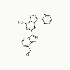 O=Cc1cccn2c(-c3nc(O)c4scc(-c5ccccn5)c4n3)ncc12